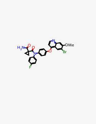 COc1cc2nccc(Oc3ccc(N(C(=O)C4(C(N)=O)CC4)c4ccc(F)cc4)cc3)c2cc1Br